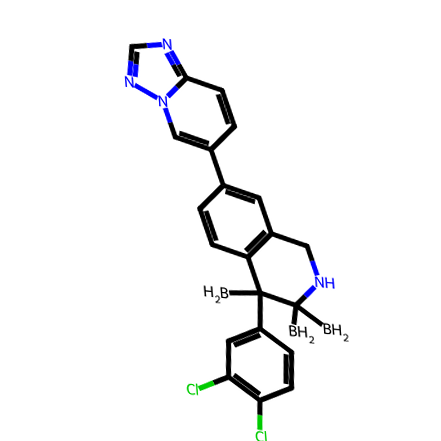 BC1(B)NCc2cc(-c3ccc4ncnn4c3)ccc2C1(B)c1ccc(Cl)c(Cl)c1